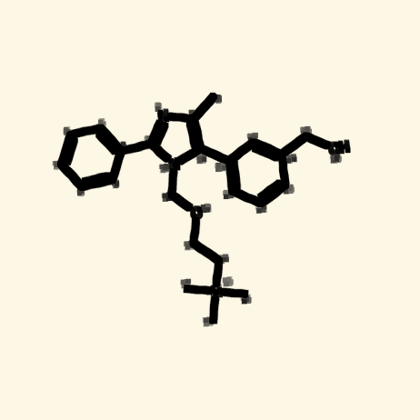 Cc1nc(-c2ccccc2)n(COCC[Si](C)(C)C)c1-c1cccc(CO)c1